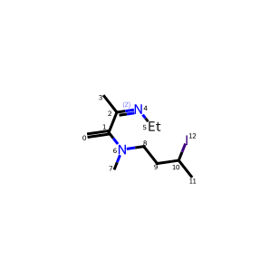 C=C(/C(C)=N\CC)N(C)CCC(C)I